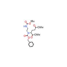 COC(=O)CCC(C(=O)OC)N(CCNC(=O)OC(C)(C)C)C(=O)OCc1ccccc1